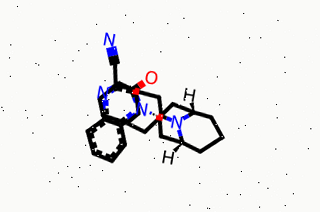 N#Cc1nc2ccccc2n([C@H]2C[C@H]3CCC[C@@H](C2)N3C2CC3CCCC(C3)C2)c1=O